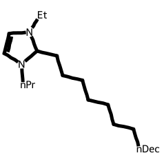 CCCCCCCCCCCCCCCCCC1N(CC)C=CN1CCC